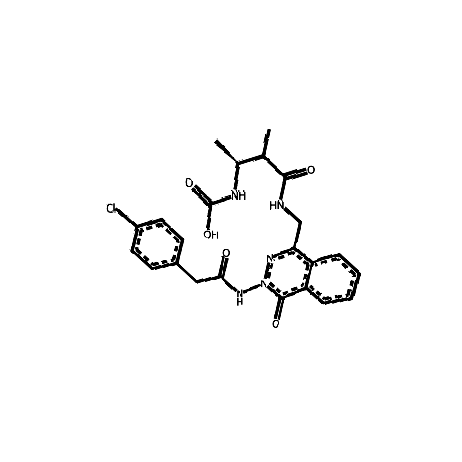 CC(C(=O)NCc1nn(NC(=O)Cc2ccc(Cl)cc2)c(=O)c2ccccc12)[C@H](C)NC(=O)O